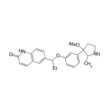 CCC(Oc1cccc(C2(OC)CCNC2C)c1)c1ccc2[nH]c(=O)ccc2c1